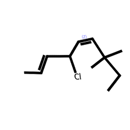 CC=CC(Cl)/C=C\C(C)(C)CC